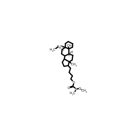 CC[C@H]1CC2C3CCC(CCCCOC(=O)N(C)OC)C3(C)CC[C@@H]2C2(C)CCCCC12N